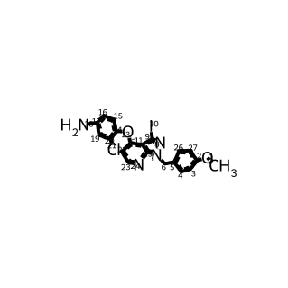 COc1ccc(Cn2nc(I)c3c(Oc4ccc(N)cc4Cl)ccnc32)cc1